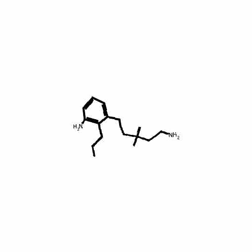 CCCc1c(N)cccc1CCC(C)(C)CCN